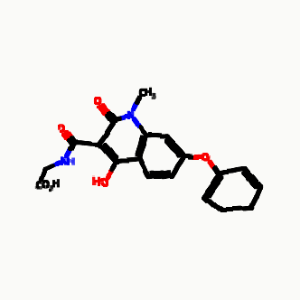 Cn1c(=O)c(C(=O)NCC(=O)O)c(O)c2ccc(OC3=CCCC=C3)cc21